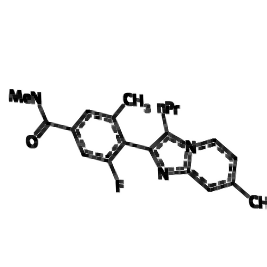 CCCc1c(-c2c(C)cc(C(=O)NC)cc2F)nc2cc(C)ccn12